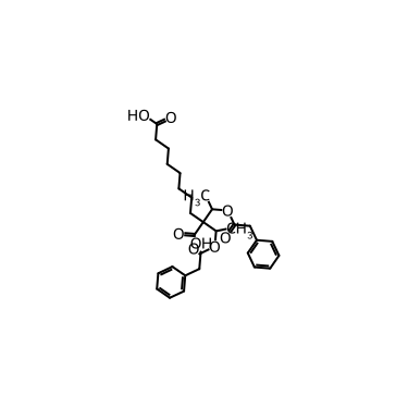 CC(OC(=O)Cc1ccccc1)C(CCCCCCCC(=O)O)(C(=O)O)C(C)OC(=O)Cc1ccccc1